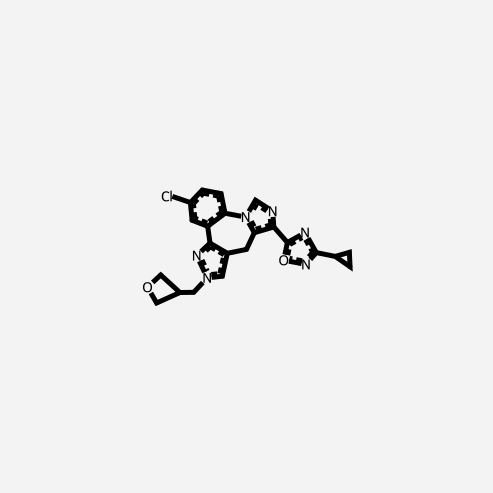 Clc1ccc2c(c1)-c1nn(CC3COC3)cc1Cc1c(-c3nc(C4CC4)no3)ncn1-2